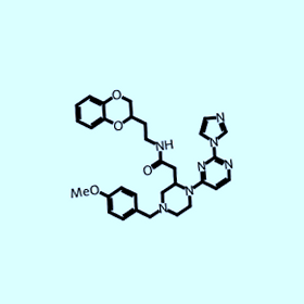 COc1ccc(CN2CCN(c3ccnc(-n4ccnc4)n3)C(CC(=O)NCCC3COc4ccccc4O3)C2)cc1